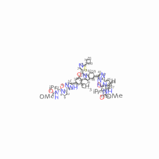 COC(=O)N[C@H](C(=O)N1CCC[C@H]1c1ncc(-c2cc(C)c3c(c2)OC(c2cnc(C4CCC4)s2)n2c-3cc3cc(-c4cnc([C@@H]5C[C@H]6C[C@H]6N5C(=O)[C@@H](NC(=O)OC)C(C)C)[nH]4)ccc32)[nH]1)C(C)C